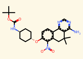 CC(C)(C)OC(=O)N[C@H]1CC[C@H](Oc2ccc3c(c2[N+](=O)[O-])CC(C)(C)c2c(N)ncnc2-3)CC1